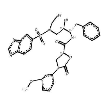 CC(C)CN(C[C@@H](O)[C@H](Cc1ccccc1)NC(=O)[C@@H]1CN(c2cccc(OC(F)(F)F)c2)C(=O)O1)S(=O)(=O)c1ccc2ncsc2c1